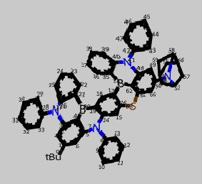 CC(C)(C)c1cc2c3c(c1)N(c1ccccc1)c1cc4c(cc1B3c1ccccc1N2c1ccccc1)B1c2ccccc2N(c2ccccc2)c2cc(N3C5CC6CC(C5)C3C6)cc(c21)S4